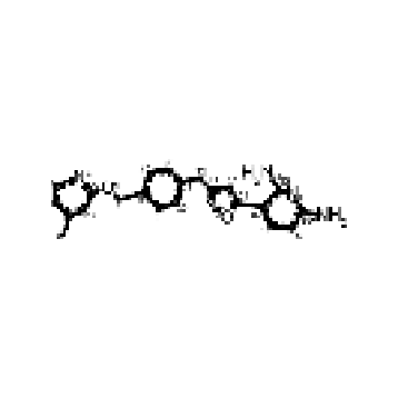 Cc1ccnc(OCc2ccc(Cc3cc(-c4ccc(N)nc4N)on3)cc2)c1